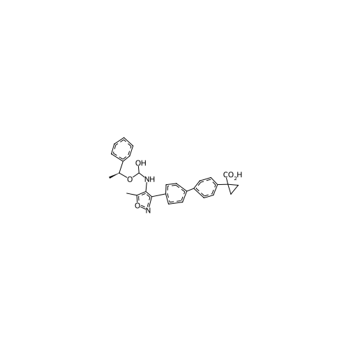 Cc1onc(-c2ccc(-c3ccc(C4(C(=O)O)CC4)cc3)cc2)c1NC(O)O[C@@H](C)c1ccccc1